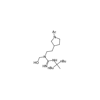 CCCCC(C)(CCCC)NC(=N)N(CO)CCC1CCN(C(C)=O)C1